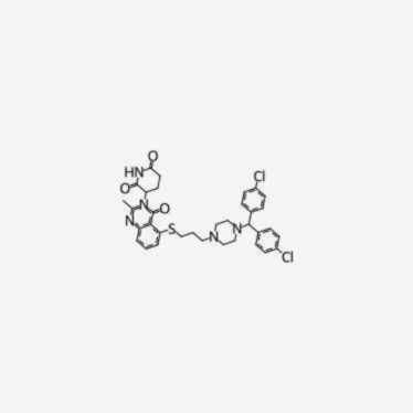 Cc1nc2cccc(SCCCN3CCN(C(c4ccc(Cl)cc4)c4ccc(Cl)cc4)CC3)c2c(=O)n1C1CCC(=O)NC1=O